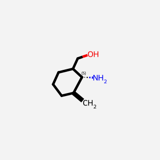 C=C1CCCC(CO)[C@@H]1N